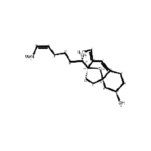 C/C=C1/C=C2CC[C@@H](O)C[C@]23CC[C@@]1([C@H](CCC)CCC/C=C\NC)O3